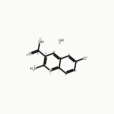 Nc1nc2ccc(Cl)cc2cc1C(=O)O.[LiH]